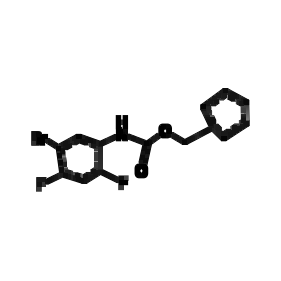 O=C(Nc1cc(Br)c(F)cc1F)OCc1ccccc1